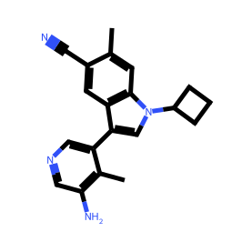 Cc1cc2c(cc1C#N)c(-c1cncc(N)c1C)cn2C1CCC1